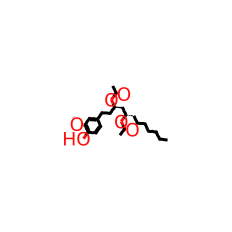 CCCCCCC[C@@H](C[C@@H](CCc1ccc(O)c(OC)c1)OC(C)=O)OC(C)=O